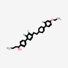 CCCC(O)c1ccc(-c2ccc(CCC3CC=C(c4ccc(OCC)cc4F)CC3)c(F)c2F)cc1